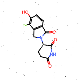 O=C1CCC(N2Cc3c(ccc(O)c3F)C2=O)C(=O)N1